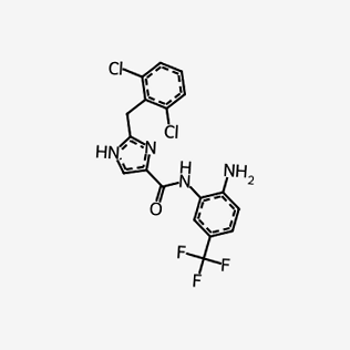 Nc1ccc(C(F)(F)F)cc1NC(=O)c1c[nH]c(Cc2c(Cl)cccc2Cl)n1